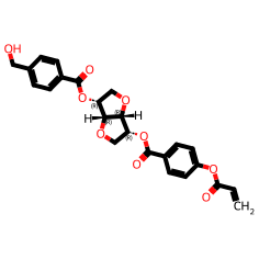 C=CC(=O)Oc1ccc(C(=O)O[C@@H]2CO[C@H]3[C@@H]2OC[C@H]3OC(=O)c2ccc(CO)cc2)cc1